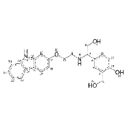 OCc1cc(C(CO)NCCOc2ccc3c(c2)[nH]c2ccccc23)ccc1O